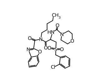 CCCCCN(C(=O)c1nc2ccccc2o1)C(=O)C(CS(=O)(=O)Cc1ccccc1Cl)NC(=O)N1CCOCC1